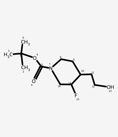 CC(C)(C)OC(=O)N1CCC(CCO)C(F)C1